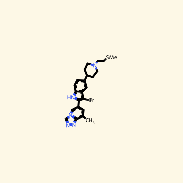 CSCCN1CCC(c2ccc3[nH]c(-c4cc(C)c5nncn5c4)c(C(C)C)c3c2)CC1